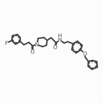 O=C(CC1CCN(C(=O)CCc2cccc(F)c2)CC1)NCCc1ccc(OCc2ccccc2)cc1